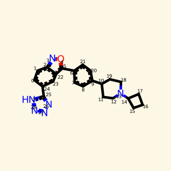 c1cc2noc(-c3ccc(C4CCN(C5CCC5)CC4)cc3)c2cc1-c1nnn[nH]1